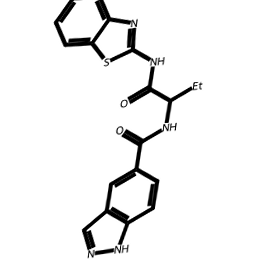 CCC(NC(=O)c1ccc2[nH]ncc2c1)C(=O)Nc1nc2ccccc2s1